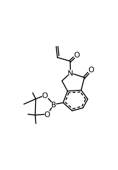 C=CC(=O)N1Cc2c(B3OC(C)(C)C(C)(C)O3)cccc2C1=O